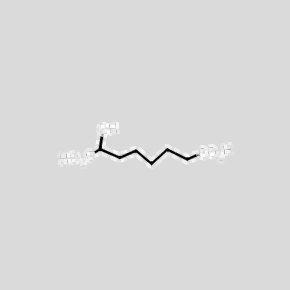 O=C(O)CCCCCC(O)C(=O)O